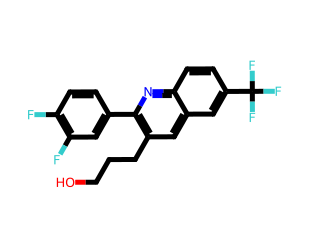 OCCCc1cc2cc(C(F)(F)F)ccc2nc1-c1ccc(F)c(F)c1